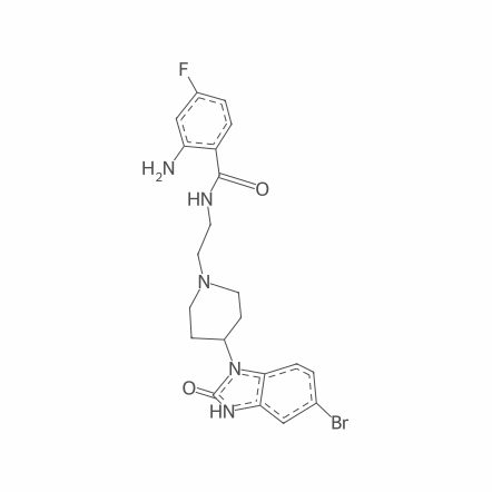 Nc1cc(F)ccc1C(=O)NCCN1CCC(n2c(=O)[nH]c3cc(Br)ccc32)CC1